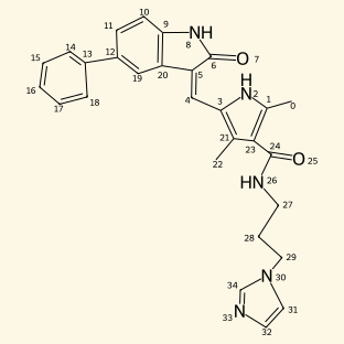 Cc1[nH]c(/C=C2\C(=O)Nc3ccc(-c4ccccc4)cc32)c(C)c1C(=O)NCCCn1ccnc1